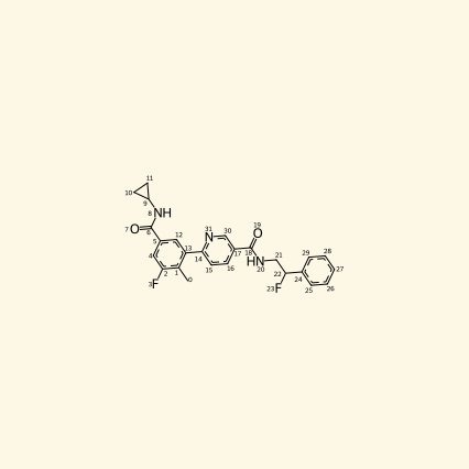 Cc1c(F)cc(C(=O)NC2CC2)cc1-c1ccc(C(=O)NCC(F)c2ccccc2)cn1